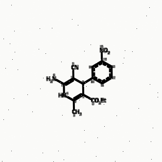 CCOC(=O)C1=C(C)NC(N)=C(C#N)C1c1cccc([N+](=O)[O-])c1